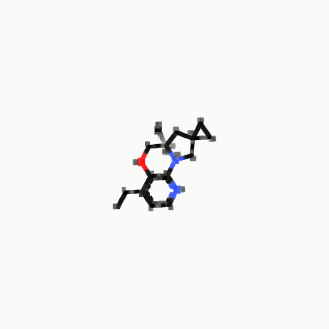 CCc1ccnc2c1OC[C@H]1CC3(CC3)CN21